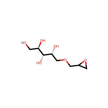 OC[C@@H](O)[C@@H](O)[C@H](O)COCC1CO1